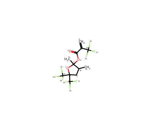 C=C(C(=O)OC1(C)OC(C(F)(F)F)(C(F)(F)F)CC1C)C(F)(F)F